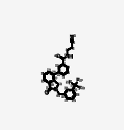 N#CCCNC(=O)c1cccc(-c2cccc3c2CN(Cc2cccc(C(F)(F)F)c2)C3=O)c1